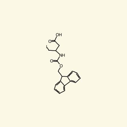 O=C(O)CC(CI)NC(=O)OCC1c2ccccc2-c2ccccc21